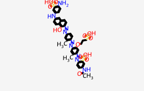 CC(=O)Nc1ccc(N=Nc2cc(OCCCS(=O)(=O)O)c(N=Nc3ccc(N=Nc4ccc5cc(Nc6ccc(N)c(S(=O)(=O)O)c6)ccc5c4O)cc3C)cc2C)c(S(=O)(=O)O)c1